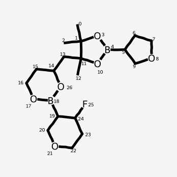 CC1(C)OB(C2CCOC2)OC1(C)CC1CCOB(C2COCCC2F)O1